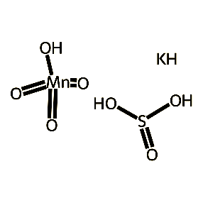 O=S(O)O.[KH].[O]=[Mn](=[O])(=[O])[OH]